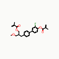 C=C(C)C(=O)OCC(COC)Cc1ccc(-c2ccc(OC(=O)C(=C)C)c(F)c2)cc1